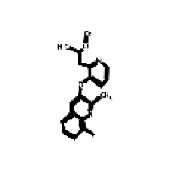 CCOC(C)Cc1ncccc1Oc1cc2cccc(F)c2nc1C